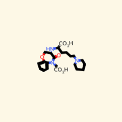 O=C(O)CN1C(=O)[C@@H](NC(CCCCN2CCCCC2)C(=O)O)COc2ccccc21